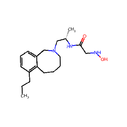 CCCc1cccc2c1CCCCN(C[C@H](C)NC(=O)CNO)C2